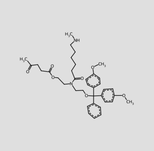 CNCCCCCC(=O)N(CCOC(=O)CCC(C)=O)CCOC(c1ccccc1)(c1ccc(OC)cc1)c1ccc(OC)cc1